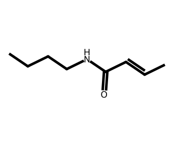 CC=CC(=O)NCCCC